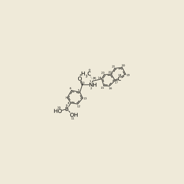 C[C@@H](NC(=O)c1ccc(B(O)O)cc1)c1ccc2ccccc2c1